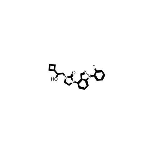 O=C1N(CC(O)C2CCC2)CCN1c1cccc2c1cnn2-c1ccccc1F